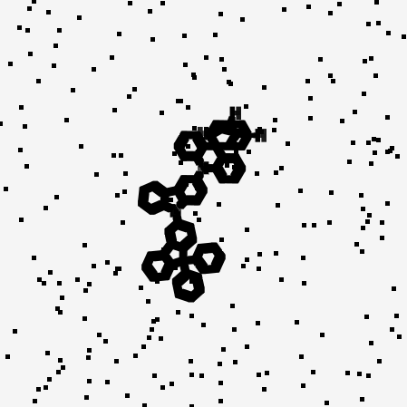 c1ccc(C2(c3ccccc3)c3ccccc3-c3cc(-n4c5ccccc5c5cc(N6c7ccccc7C7(c8ccccc86)C6C[C@H]8C[C@@H](C6)C[C@@H]7C8)ccc54)ccc32)cc1